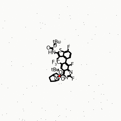 CC(C)(C)OC(=O)Nc1sc2c(F)ccc(-c3c(C(F)(F)F)cc4c(N5CC6CCC(C5)N6C(=O)OC(C)(C)C)nc(F)nc4c3F)c2c1I